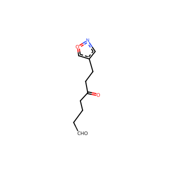 O=CCCCC(=O)CCc1cnoc1